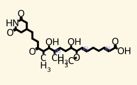 COC(/C=C/CC/C=C/C(=O)O)C(O)C/C=C(\C)C(O)C(C)C(=O)CCCC1CC(=O)NC(=O)C1